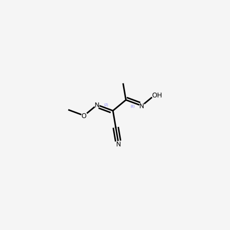 CO/N=C(C#N)/C(C)=N/O